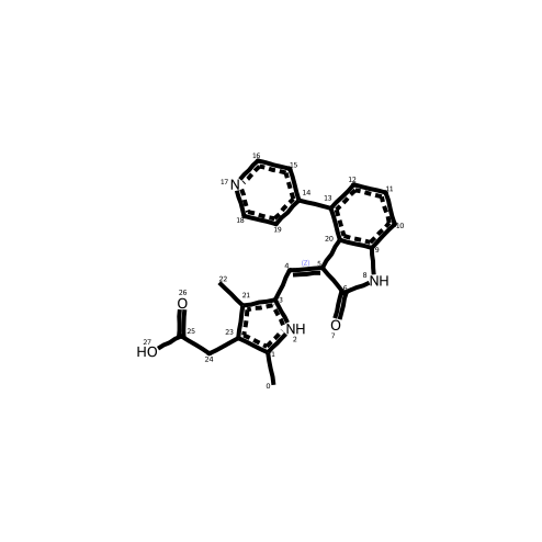 Cc1[nH]c(/C=C2\C(=O)Nc3cccc(-c4ccncc4)c32)c(C)c1CC(=O)O